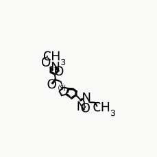 CCc1nc(-c2ccc3c(c2)CC[C@H]3CC(=O)c2cc(OC)no2)no1